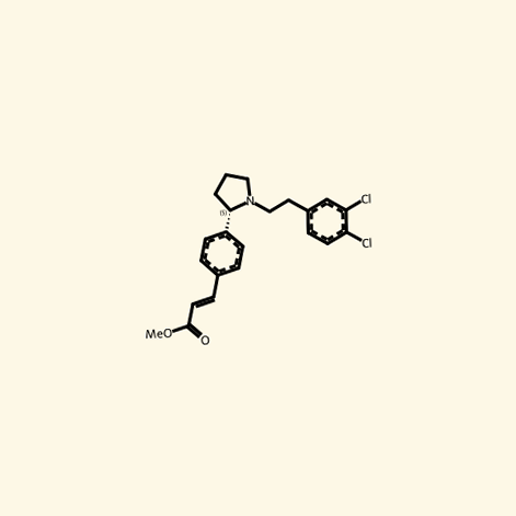 COC(=O)C=Cc1ccc([C@@H]2CCCN2CCc2ccc(Cl)c(Cl)c2)cc1